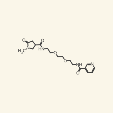 CN1CC(C(=O)NCCOCCOCCNC(=O)c2cccnc2)CC1=O